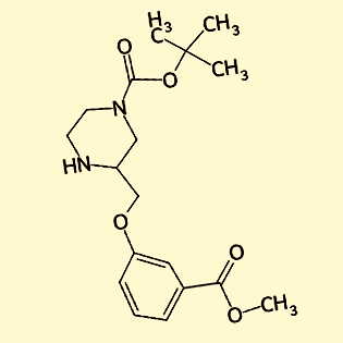 COC(=O)c1cccc(OCC2CN(C(=O)OC(C)(C)C)CCN2)c1